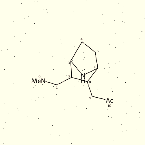 CNCC1C2CCC(N2)C1CC(C)=O